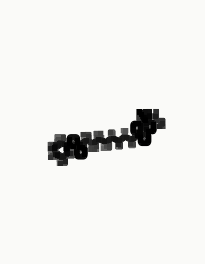 NC(=O)OC(=O)CCCCCCCCC(=O)Oc1ccccc1